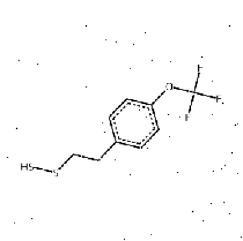 FC(F)(F)Oc1ccc(CCSS)cc1